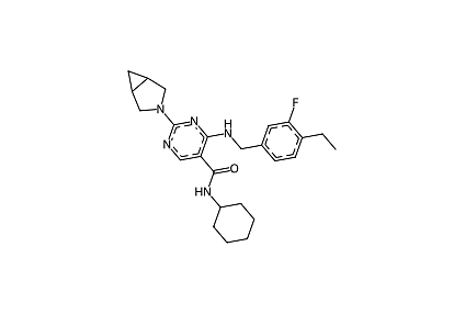 CCc1ccc(CNc2nc(N3CC4CC4C3)ncc2C(=O)NC2CCCCC2)cc1F